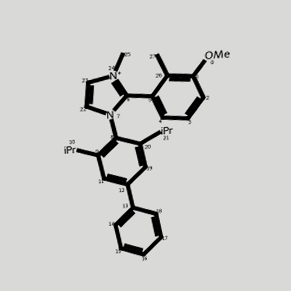 COc1cccc(-c2n(-c3c(C(C)C)cc(-c4ccccc4)cc3C(C)C)cc[n+]2C)c1C